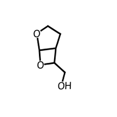 OCC1OC2OCCC12